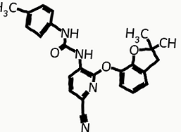 Cc1ccc(NC(=O)Nc2ccc(C#N)nc2Oc2cccc3c2OC(C)(C)C3)cc1